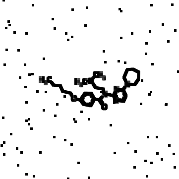 CCCCCOc1ccc(C(=O)N(CCN(C)C)c2nccc(N3CCCCCC3)n2)cc1